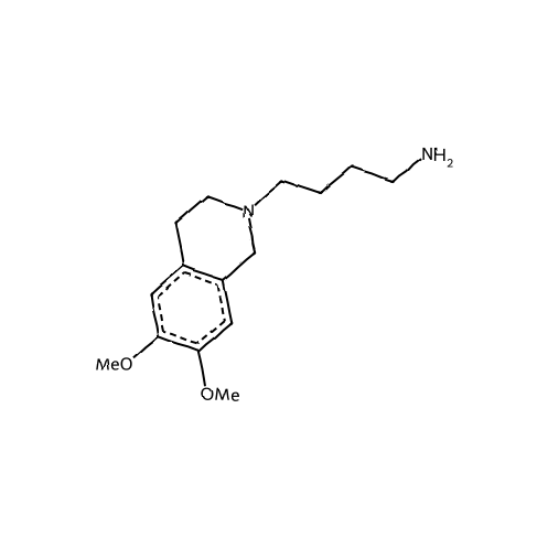 COc1cc2c(cc1OC)CN(CCCCN)CC2